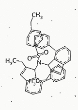 CCC1=Cc2cccc(-c3ccccc3)c2C1N(C1C(CC)=Cc2cccc(-c3ccccc3)c21)S(=O)(=O)c1ccc(CC)cc1